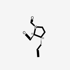 C=CC[C@H]1CCN(C=O)[C@@H]1C=O